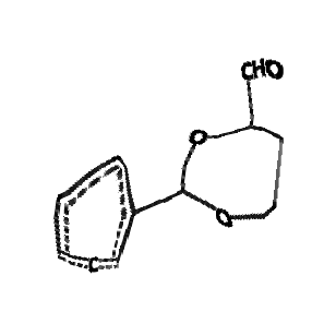 O=CC1CCOC(c2ccccc2)O1